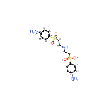 Nc1ccc(S(=O)(=O)CCNCCS(=O)(=O)c2ccc(N)cc2)cc1